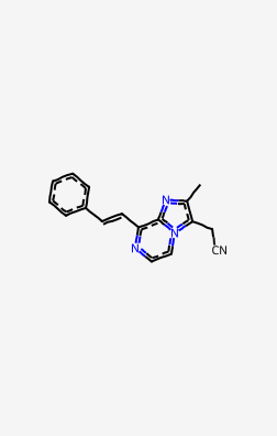 Cc1nc2c(/C=C/c3ccccc3)nccn2c1CC#N